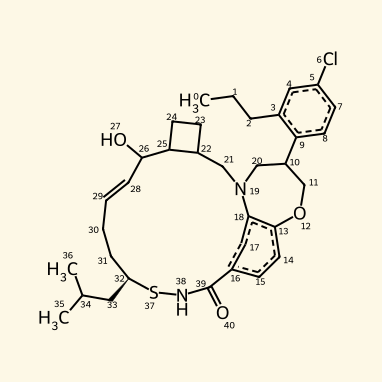 CCCc1cc(Cl)ccc1C1COc2ccc3cc2N(C1)CC1CCC1C(O)/C=C/CC[C@H](CC(C)C)SNC3=O